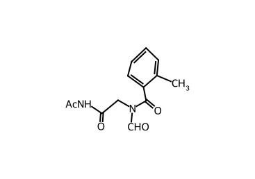 CC(=O)NC(=O)CN(C=O)C(=O)c1ccccc1C